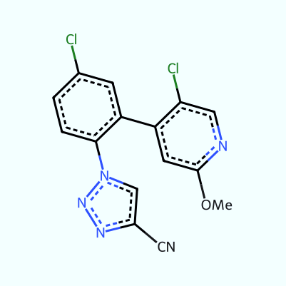 COc1cc(-c2cc(Cl)ccc2-n2cc(C#N)nn2)c(Cl)cn1